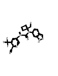 CN(C(=S)N(c1ccc2cn[nH]c2c1)C1(C=O)CCC1)c1cnc(C#N)c(C(F)(F)F)c1